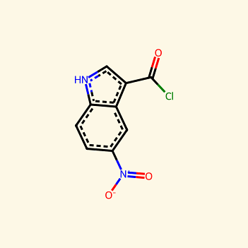 O=C(Cl)c1c[nH]c2ccc([N+](=O)[O-])cc12